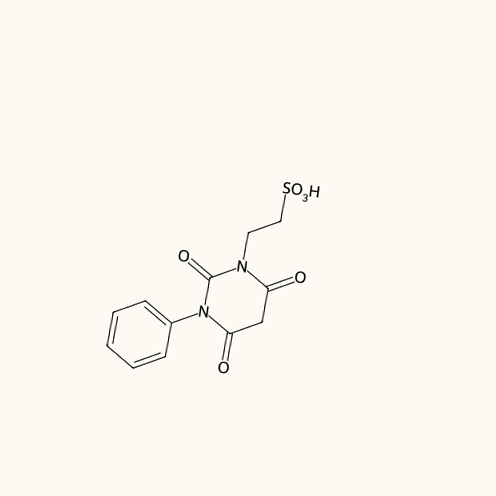 O=C1CC(=O)N(c2ccccc2)C(=O)N1CCS(=O)(=O)O